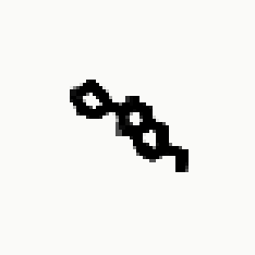 C=Cc1ccc2nc(C3CCOCC3)ncc2c1